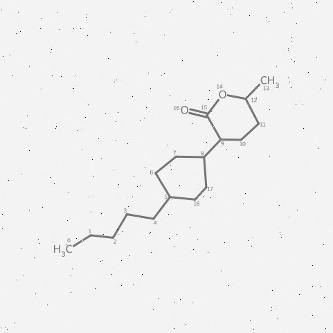 CCCCCC1CCC(C2CCC(C)OC2=O)CC1